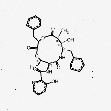 C[C@H]1OC(=O)C(Cc2ccccc2)OC(=O)[C@H](C)[C@H](O)[C@H](Cc2ccccc2)NC(=O)[C@H]1NC(=O)c1ncccc1O